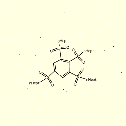 CCCCCCCS(=O)(=O)c1cc(S(=O)(=O)CCCCCCC)c(S(=O)(=O)CCCCCCC)c(S(=O)(=O)CCCCCCC)c1